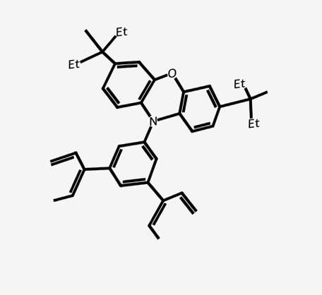 C=C/C(=C\C)c1cc(/C(C=C)=C/C)cc(N2c3ccc(C(C)(CC)CC)cc3Oc3cc(C(C)(CC)CC)ccc32)c1